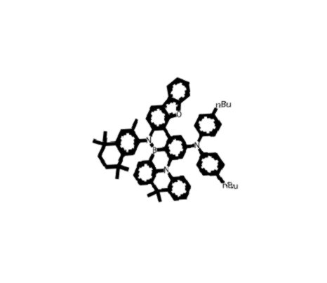 CCCCc1ccc(N(c2ccc(CCCC)cc2)c2cc3c4c(c2)N2c5ccccc5C(C)(C)c5cccc(c52)B4N(c2cc4c(cc2C)C(C)(C)CCC4(C)C)c2ccc4c(oc5ccccc54)c2-3)cc1